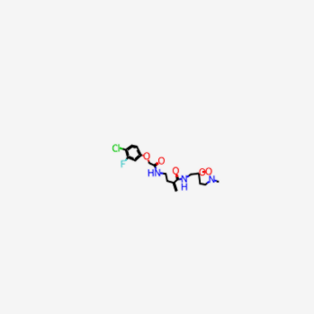 C=C(CCNC(=O)COc1ccc(Cl)c(F)c1)C(=O)NCC1CCN(C)OO1